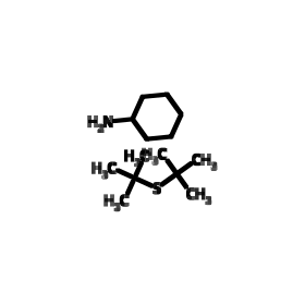 CC(C)(C)SC(C)(C)C.NC1CCCCC1